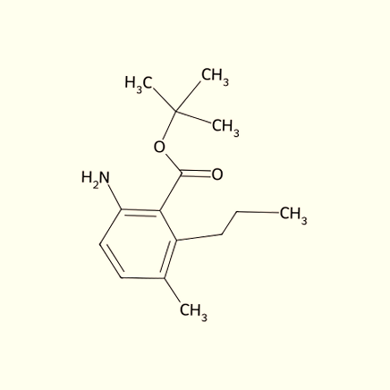 CCCc1c(C)ccc(N)c1C(=O)OC(C)(C)C